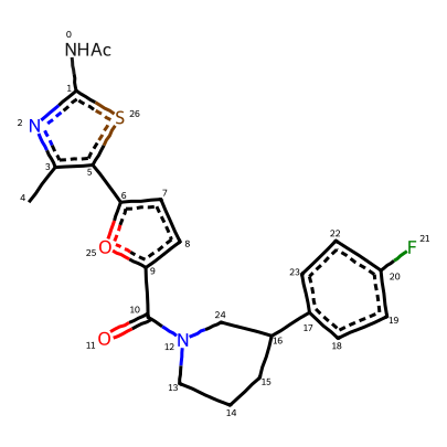 CC(=O)Nc1nc(C)c(-c2ccc(C(=O)N3CCCC(c4ccc(F)cc4)C3)o2)s1